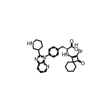 O=C(O)[C@H](Cc1ccc(-n2c(C3CCCNC3)nc3cccnc32)cc1)NC1=C(Br)C(=O)C12CCCCC2